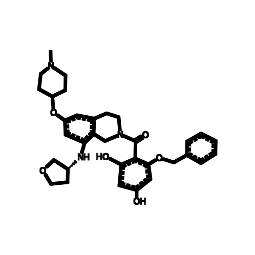 CN1CCC(Oc2cc3c(c(N[C@@H]4CCOC4)c2)CN(C(=O)c2c(O)cc(O)cc2OCc2ccccc2)CC3)CC1